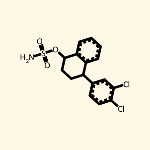 NS(=O)(=O)OC1CCC(c2ccc(Cl)c(Cl)c2)c2ccccc21